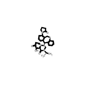 C[C@@H](N1CN([C@@H]2c3ccccc3SCc3c2cccc3N2CCCC2=O)n2ccc(=O)c(O)c2C1=O)C(F)(F)F